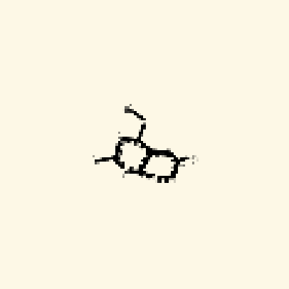 CCCCSc1nc(Cl)nc2ccc(C(F)(F)F)cc12